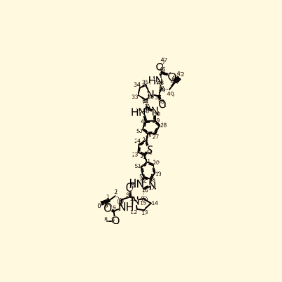 C#CC[C@@H](NC(=O)OC)C(=O)N1CCC[C@H]1c1nc2ccc(-c3ccc(-c4ccc5nc([C@@H]6CCCN6C(=O)[C@@H](CC#C)NC(=O)OC)[nH]c5c4)s3)cc2[nH]1